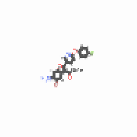 CNC(=O)c1c(-c2ccc(Oc3ccc(F)cc3)nc2)oc2cc(N)c(Br)cc12